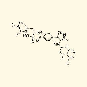 Cc1noc(-c2ccc(C(=O)NC(Cc3ccc(F)c(F)c3)C(=O)O)cc2)c1NC(=O)OC(C)c1ccccc1Cl